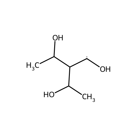 CC(O)C([CH]O)C(C)O